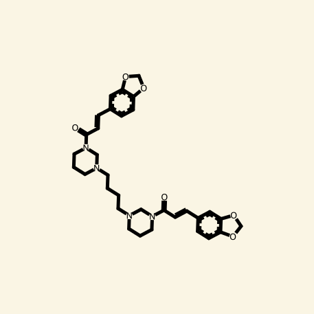 O=C(/C=C/c1ccc2c(c1)OCO2)N1CCCN(CCCCN2CCCN(C(=O)/C=C/c3ccc4c(c3)OCO4)C2)C1